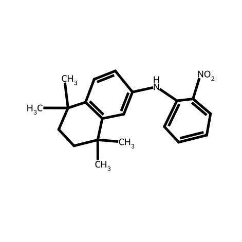 CC1(C)CCC(C)(C)c2cc(Nc3ccccc3[N+](=O)[O-])ccc21